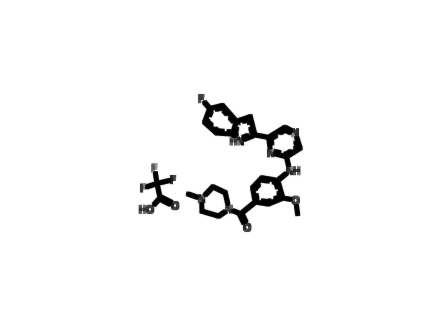 COc1cc(C(=O)N2CCN(C)CC2)ccc1Nc1cncc(-c2cc3cc(F)ccc3[nH]2)n1.O=C(O)C(F)(F)F